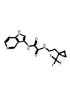 O=C(NCCC1(C(F)(F)F)CC1)C(=O)Nc1c[nH]c2ccncc12